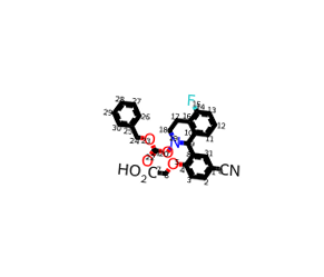 N#Cc1ccc(OCC(=O)O)c(C2c3cccc(F)c3CCN2OC(=O)OCc2ccccc2)c1